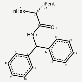 CCCCCCC(C(=O)NC(c1ccccc1)c1ccccc1)[C@@H](C)CCC